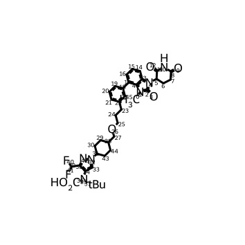 Cn1c(=O)n(C2CCC(=O)NC2=O)c2cccc(-c3cccc(CCCOCC4CCC(n5cc(N(C(=O)O)C(C)(C)C)c(C(F)F)n5)CC4)c3)c21